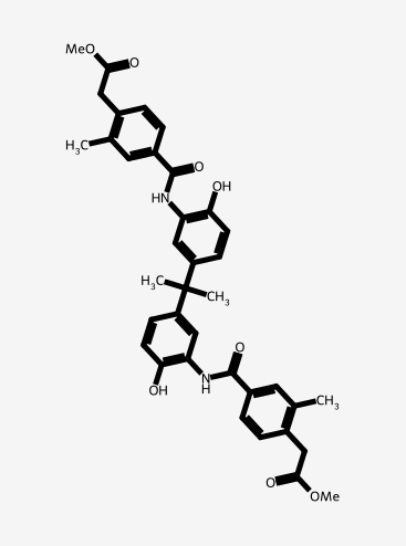 COC(=O)Cc1ccc(C(=O)Nc2cc(C(C)(C)c3ccc(O)c(NC(=O)c4ccc(CC(=O)OC)c(C)c4)c3)ccc2O)cc1C